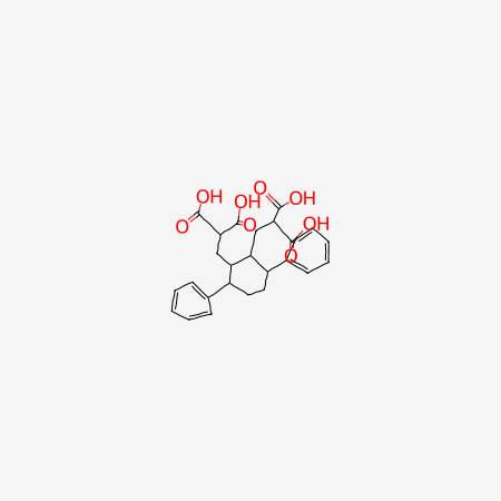 O=C(O)C(CC1C(c2ccccc2)CCC(c2ccccc2)C1CC(C(=O)O)C(=O)O)C(=O)O